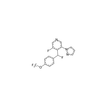 Fc1cncc(-n2cccn2)c1C(F)c1ccc(OC(F)(F)F)cc1